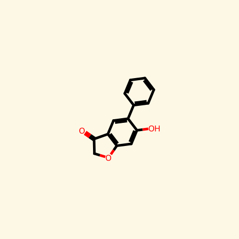 O=C1COc2cc(O)c(-c3ccccc3)cc21